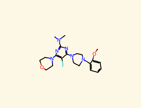 COc1ccccc1N1CCN(c2nc(N(C)C)nc(N3CCOCC3)c2F)CC1